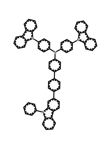 c1ccc(-n2c3ccccc3c3ccc(-c4ccc(-c5ccc(N(c6ccc(-n7c8ccccc8c8ccccc87)cc6)c6ccc(-n7c8ccccc8c8ccccc87)cc6)cc5)cc4)cc32)cc1